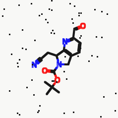 CC(C)(C)OC(=O)N1Cc2ccc(C=O)nc2C1CC#N